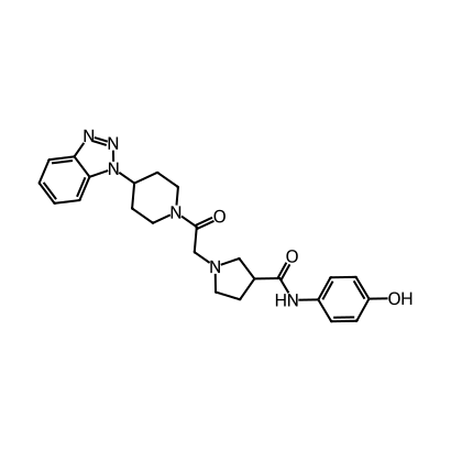 O=C(Nc1ccc(O)cc1)C1CCN(CC(=O)N2CCC(n3nnc4ccccc43)CC2)C1